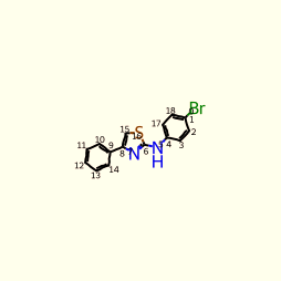 Brc1ccc(Nc2nc(-c3ccccc3)cs2)cc1